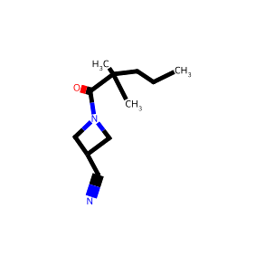 CCCC(C)(C)C(=O)N1CC(C#N)C1